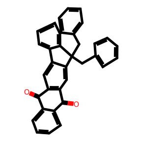 O=C1c2ccccc2C(=O)c2cc3c(cc21)-c1ccccc1C3(Cc1ccccc1)Cc1ccccc1